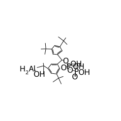 CC(C)(C)c1cc(C(OP(=O)(O)OP(=O)(O)O)c2cc(C(C)(C)C)cc(C(C)(C)C)c2)cc(C(C)(C)C)c1.[OH][AlH2]